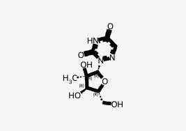 C[C@@]1(O)[C@H](O)[C@@H](CO)O[C@H]1n1ncc(=O)[nH]c1=O